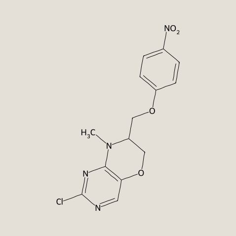 CN1c2nc(Cl)ncc2OCC1COc1ccc([N+](=O)[O-])cc1